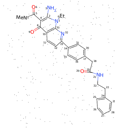 CCn1c(N)c(C(=O)NC)c(=O)c2ccc(-c3ccc(CC(=O)NCCc4ccccc4)cc3)nc21